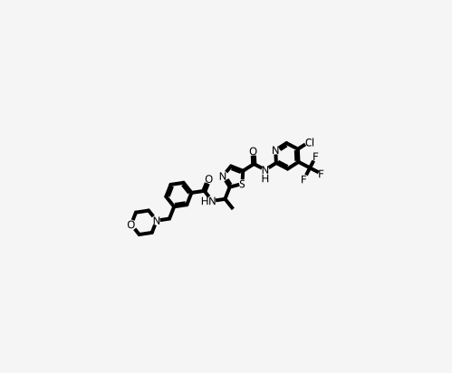 CC(NC(=O)c1cccc(CN2CCOCC2)c1)c1ncc(C(=O)Nc2cc(C(F)(F)F)c(Cl)cn2)s1